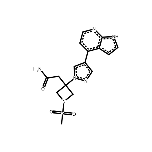 CS(=O)(=O)N1CC(CC(N)=O)(n2cc(-c3ccnc4[nH]ccc34)cn2)C1